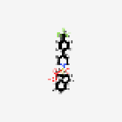 O=C(O)C1(S(=O)(=O)N2CC=C(c3ccc(C(F)(F)F)cc3)CC2)CCc2ccccc21